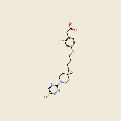 O=C(O)Cc1ccc(OCCCC2CC23CCN(c2ncc(Cl)cn2)CC3)cc1F